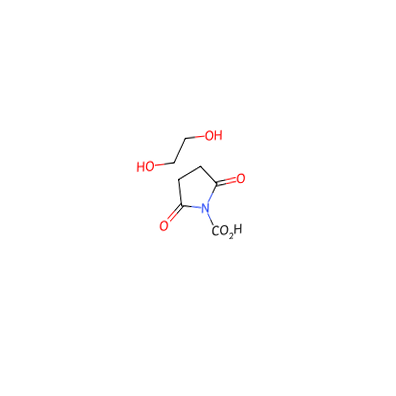 O=C(O)N1C(=O)CCC1=O.OCCO